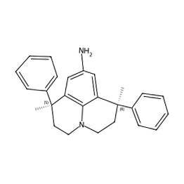 C[C@@]1(c2ccccc2)CCN2CC[C@](C)(c3ccccc3)c3cc(N)cc1c32